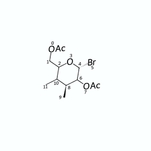 CC(=O)OCC1O[C@H](Br)C(OC(C)=O)[C@@H](C)C1C